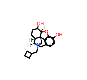 Oc1ccc2c3c1O[C@H]1C(O)CC[C@H]4[C@@H](C2)N(CC2CCC2)CC[C@]314